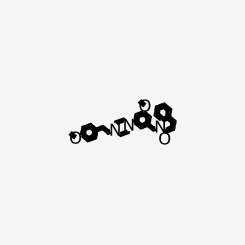 COc1ccc(CCN2CCN(c3cc(Cn4c(=O)ccc5ccccc54)cc(OC)c3)CC2)cc1